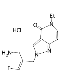 CCn1ccc2nn(CC(=CF)CN)cc2c1=O.Cl